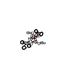 CC[C@H](C)[C@H](NC(=O)[C@@H]1C[C@@H](OC(C)(C)C)CN1C(=O)[C@H](CC(=O)NC(c1ccccc1)(c1ccccc1)c1ccccc1)NC(=O)OCC1c2ccccc2-c2ccccc21)C(=O)OC(C)(C)C